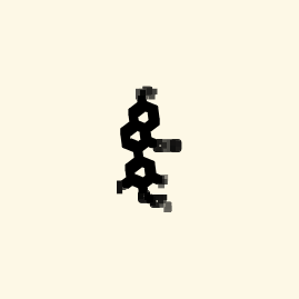 CCCc1ccc2c(C=O)c(-c3cc(F)c(OC(F)(F)F)c(F)c3)ccc2c1